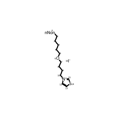 CCCCCCCCCCCCCCOCCCC[n+]1ccsc1.[I-]